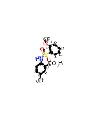 CCc1ccc(NS(=O)(=O)c2ccccc2OC(F)(F)F)c(C(=O)O)c1